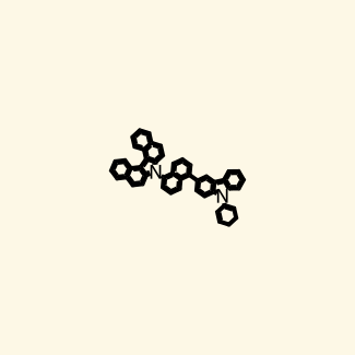 C1=CC(n2c3ccccc3c3cc(-c4cccc5c(-n6c7ccc8ccccc8c7c7c8ccccc8ccc76)cccc45)ccc32)=CCC1